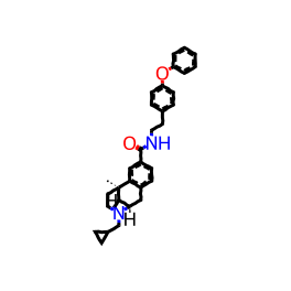 C[C@@H]1[C@H]2Cc3ccc(C(=O)NCCc4ccc(Oc5ccccc5)cc4)cc3[C@]1(C)CCN2CC1CC1